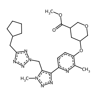 COC(=O)C1COCC(Oc2ccc(-c3nnn(C)c3Cn3nnc(CC4CCCC4)n3)nc2C)C1